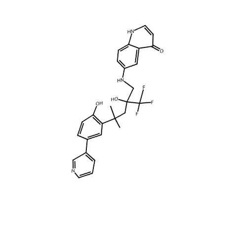 CC(C)(CC(O)(CNc1ccc2[nH]ccc(=O)c2c1)C(F)(F)F)c1cc(-c2cccnc2)ccc1O